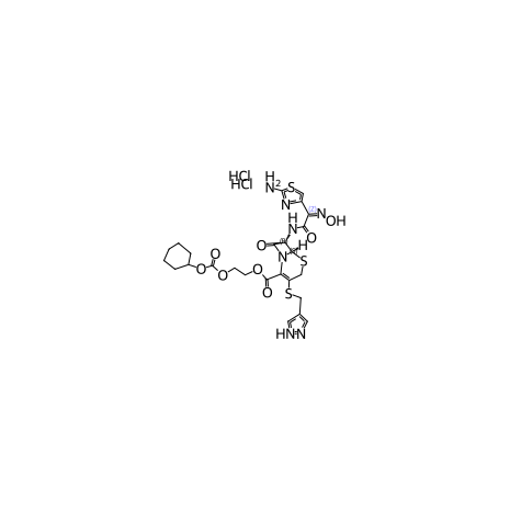 Cl.Cl.Nc1nc(/C(=N/O)C(=O)N[C@@H]2C(=O)N3C(C(=O)OCCOC(=O)OC4CCCCC4)=C(SCc4cn[nH]c4)CS[C@@H]23)cs1